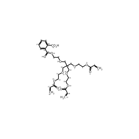 C=CC(=O)OCCOCC(COCCOC(=O)C=C)(COCCOC(=O)C=C)COCCOC(=O)c1ccccc1C(=O)O